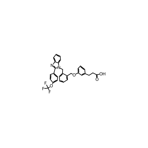 O=C(O)CCc1cccc(OCc2ccccc2Cn2c(-c3ccc(OC(F)(F)F)cc3)nc3ccccc32)c1